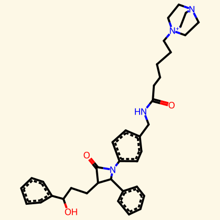 O=C(CCCCC[N+]12CCN(CC1)CC2)NCc1ccc(N2C(=O)C(CCC(O)c3ccccc3)C2c2ccccc2)cc1